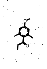 CCC(=O)c1c(C)cc(OC)cc1C